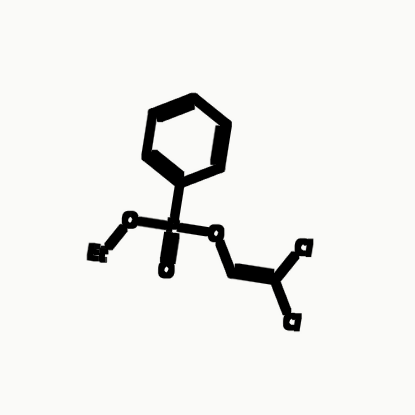 CCOP(=O)(OC=C(Cl)Cl)c1ccccc1